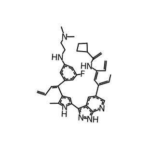 C=C/C=C(/c1cc(F)cc(NCCN(C)C)c1)c1cc(-c2n[nH]c3ncc(C(/C=C(\C=C)NC(=C)C4CCC4)=C/C)cc23)[nH]c1C